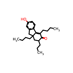 CCCCC1=C2c3ccc(O)cc3CC2(CCCC)CC(CCC)C1=O